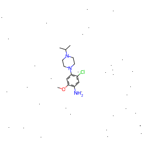 COc1cc(N2CCN(C(C)C)CC2)c(Cl)cc1N